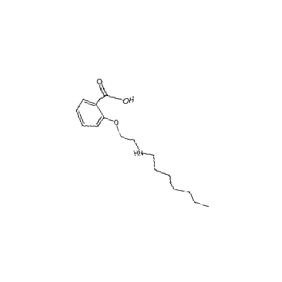 CCCCCCCNCCOc1ccccc1C(=O)O